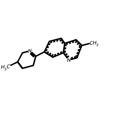 Cc1cnc2cc(C3=NCC(C)CC3)ccc2c1